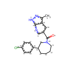 Cc1n[nH]c2ncc(C(=O)N3CCCCC(c4ccc(Cl)cc4)C3)cc12